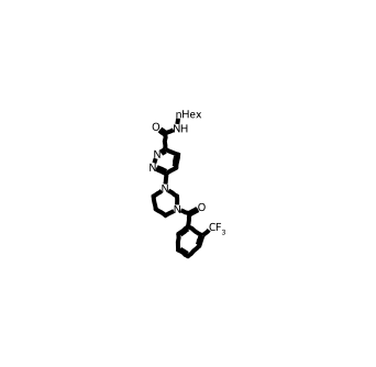 CCCCCCNC(=O)c1ccc(N2CCCN(C(=O)c3ccccc3C(F)(F)F)C2)nn1